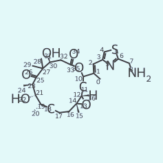 C/C(=C\c1csc(CN)n1)C1C[C@@H]2O[C@]2(C)CCC[C@H](C)[C@H](O)[C@@H](C)C(=O)C(C)(C)[C@@H](O)CC(=O)O1